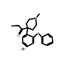 Br.CCC(=O)C1(c2ccccc2Sc2ccccc2)CCN(C)CC1